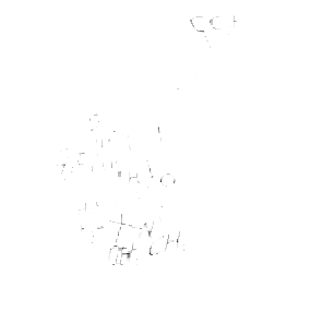 CC1C(OC(=O)C(CCCCCCCC(=O)O)C2CC[N+](C)([O-])C(C)(C)C2C)CC[N+](C)([O-])C1(C)C